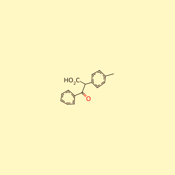 Cc1ccc(C(C(=O)O)C(=O)c2ccccc2)cc1